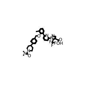 Cc1cccc(-c2cccc(-n3ncc(C(=O)O)c3C(F)(F)F)n2)c1OCc1ccc(C2CCN(C(=O)N(C)C)CC2)cc1